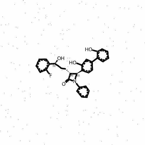 O=C1[C@H](CC[C@H](O)c2ccccc2F)[C@@H](c2ccc(-c3ccccc3O)cc2O)N1c1ccccc1